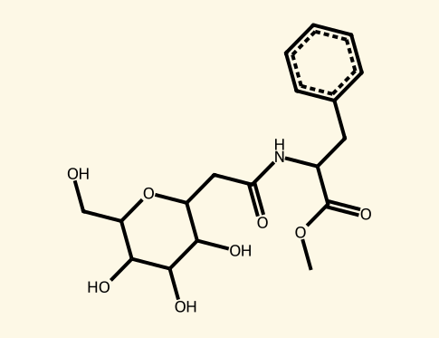 COC(=O)C(Cc1ccccc1)NC(=O)CC1OC(CO)C(O)C(O)C1O